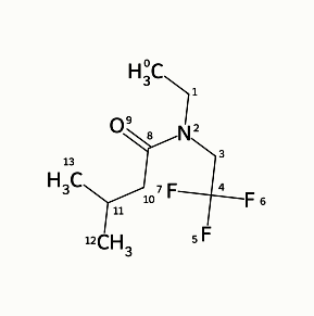 CCN(CC(F)(F)F)C(=O)CC(C)C